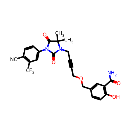 CC1(C)C(=O)N(c2ccc(C#N)c(C(F)(F)F)c2)C(=O)N1CC#CCOCc1ccc(O)c(C(N)=O)c1